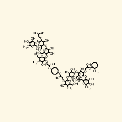 CC1OC(CO)[C@@H](O[C@@H]2OC(CO)[C@@H](O[C@@H]3OC(CO)[C@@H](O[C@@H]4OC(CO)C(C)C(O)C4OCC(O)OC4CCCC(OC(O)COC5C(O)C(C)C(CO)O[C@H]5O[C@@H]5C(CO)O[C@@H](O[C@@H]6C(CO)O[C@@H](O[C@@H]7C(CO)OC(C)C(O)C7O)C(OCC(O)O[C@H]7CCCCC[C@@H]7C)C6O)C(O)C5O)CCC4)C(O)C3O)C(O)C2OCC(O)O)C(O)=C1O